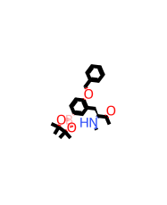 CN[C@@H](Cc1cc(B2OC(C)(C)C(C)(C)O2)ccc1OCc1ccccc1)C(C)=O